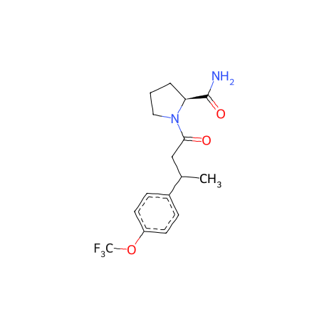 CC(CC(=O)N1CCC[C@H]1C(N)=O)c1ccc(OC(F)(F)F)cc1